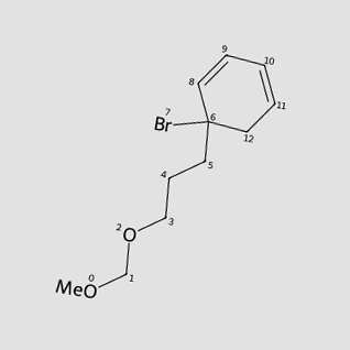 COCOCCCC1(Br)C=CC=CC1